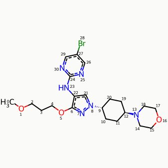 COCCCOc1nn([C@H]2CC[C@H](N3CCOCC3)CC2)cc1Nc1ncc(Br)cn1